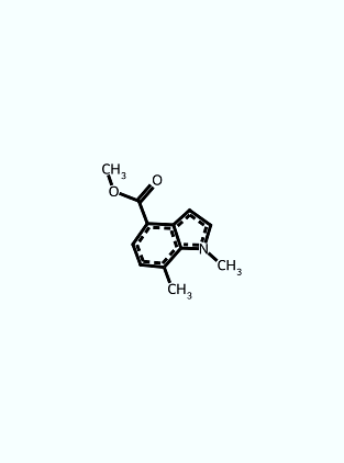 COC(=O)c1ccc(C)c2c1ccn2C